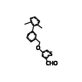 Cc1cccc(C)c1-c1cccc(COc2csc(C=O)c2)c1